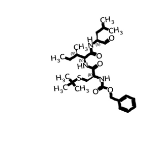 CC[C@H](C)[C@H](NC(=O)[C@H](CSC(C)(C)C)NC(=O)OCc1ccccc1)C(=O)N[C@H](C=O)CC(C)C